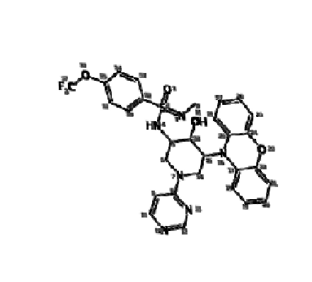 CN=S(=O)(NC1CN(c2ccncn2)CC(N2c3ccccc3Oc3ccccc32)C1O)c1ccc(OC(F)(F)F)cc1